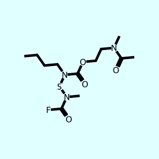 CCCCN(SN(C)C(=O)F)C(=O)OCCN(C)C(C)=O